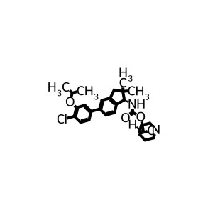 CC(C)Oc1cc(-c2ccc3c(c2)CC(C)(C)[C@H]3NC(=O)O[C@@H]2CN3CCC2CC3)ccc1Cl